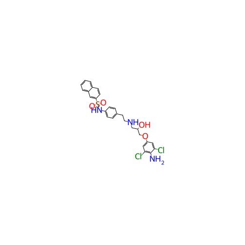 Nc1c(Cl)cc(OCC(O)CNCCc2ccc(NS(=O)(=O)c3ccc4ccccc4c3)cc2)cc1Cl